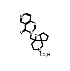 O=C(O)N1CCC(O)(Cn2cnc3ccncc3c2=O)C2(CCCC2)C1